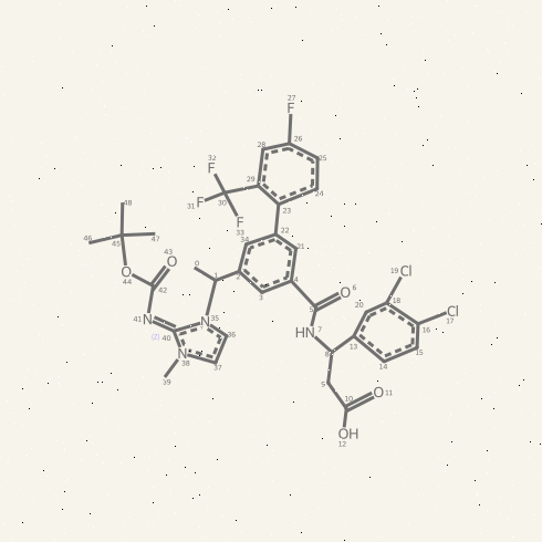 CC(c1cc(C(=O)NC(CC(=O)O)c2ccc(Cl)c(Cl)c2)cc(-c2ccc(F)cc2C(F)(F)F)c1)n1ccn(C)/c1=N/C(=O)OC(C)(C)C